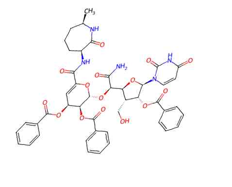 C[C@@H]1CCC[C@H](NC(=O)C2=C[C@H](OC(=O)c3ccccc3)[C@H](OC(=O)c3ccccc3)[C@@H](O[C@@H](C(N)=O)[C@H]3O[C@@H](n4ccc(=O)[nH]c4=O)[C@H](OC(=O)c4ccccc4)[C@@H]3CO)O2)C(=O)N1